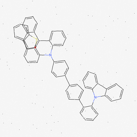 c1ccc(N(c2ccc(-c3ccc(-c4ccccc4-n4c5ccccc5c5ccccc54)cc3)cc2)c2cccc3c2sc2ccccc23)c(-c2cccc3ccccc23)c1